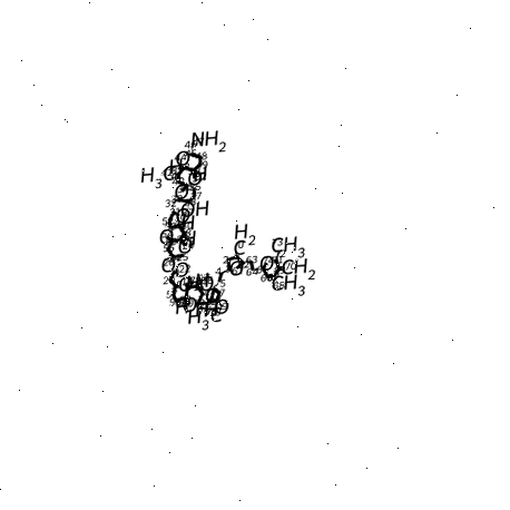 C=C1C[C@H](CC[C@]23C[C@@H](OC)[C@H](O2)[C@H]2C[C@@H](O3)[C@H]3OC(CC(=O)O[C@H]4CO[C@H]5C[C@H]6O[C@@H](C[C@@H]7O[C@@]8(CC[C@@H]7O)C[C@H](C)[C@@H]7O[C@H](CN)CC[C@@H]7O8)CC6OC5C4)CC[C@@H]3O2)O[C@H]1CC[C@H]1C[C@@H](C)C(=C)[C@@H](CC)O1